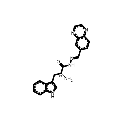 N[C@H](Cc1c[nH]c2ccccc12)C(=O)NN=Cc1ccc2nccnc2c1